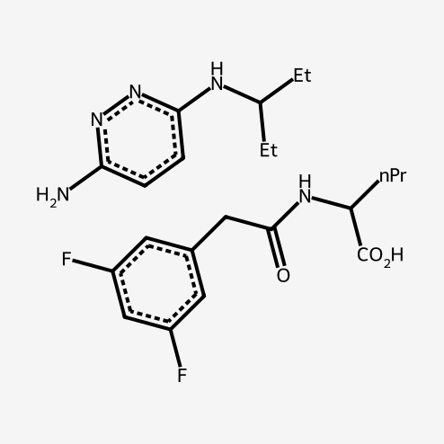 CCC(CC)Nc1ccc(N)nn1.CCCC(NC(=O)Cc1cc(F)cc(F)c1)C(=O)O